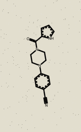 N#Cc1ccc(N2CCN(C(=O)c3ccc[nH]3)CC2)cc1